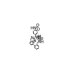 O=c1[nH]c2ccc(Nc3ncc4ccc(-c5ccccc5CN[SH](=O)=O)n4n3)cc2o1